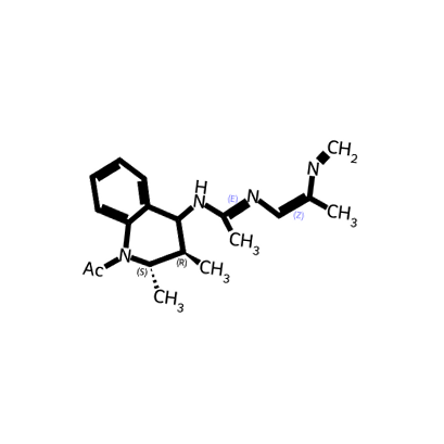 C=N/C(C)=C\N=C(/C)NC1c2ccccc2N(C(C)=O)[C@@H](C)[C@@H]1C